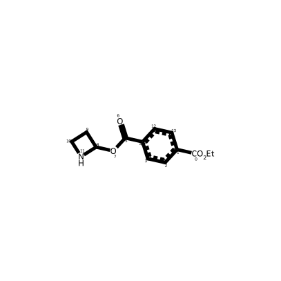 CCOC(=O)c1ccc(C(=O)OC2CCN2)cc1